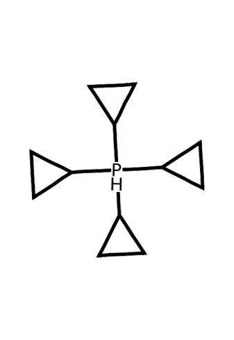 C1CC1[PH](C1CC1)(C1CC1)C1CC1